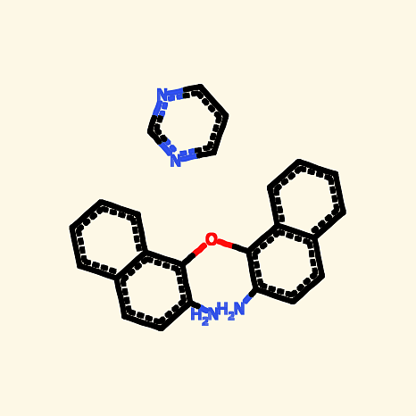 Nc1ccc2ccccc2c1Oc1c(N)ccc2ccccc12.c1cncnc1